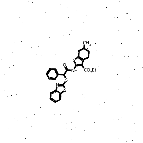 CCOC(=O)c1c(NC(=O)C(Sc2nc3ccccc3s2)c2ccccc2)sc2c1CCC(C)C2